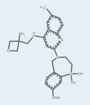 COc1ccc2c(c1)S(O)(O)CCN(c1cc(NCC3(N)COC3)c3cc(C)ccc3n1)C2